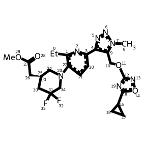 CCc1nc(-c2nnn(C)c2COc2noc(C3CC3)n2)ccc1N1C[C@H](CC(=O)OC)CC(F)(F)C1